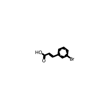 O=C(O)/C=C/c1cccc(Br)c1